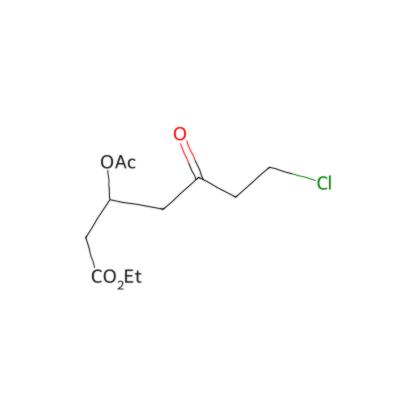 CCOC(=O)CC(CC(=O)CCCl)OC(C)=O